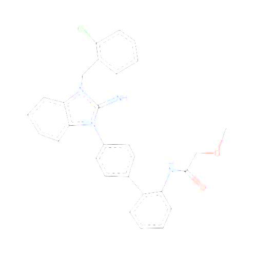 COCC(=O)Nc1ccccc1-c1ccc(-n2c(=N)n(Cc3ccccc3Cl)c3ccccc32)cc1